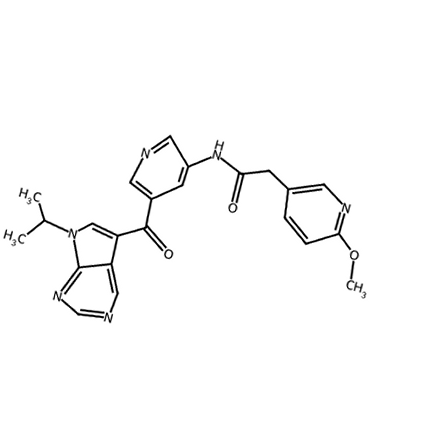 COc1ccc(CC(=O)Nc2cncc(C(=O)c3cn(C(C)C)c4ncncc34)c2)cn1